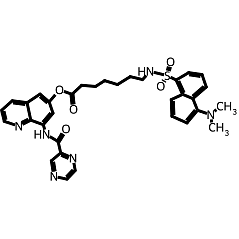 CN(C)c1cccc2c(S(=O)(=O)NCCCCCCC(=O)Oc3cc(NC(=O)c4cnccn4)c4ncccc4c3)cccc12